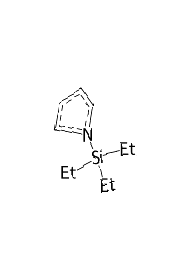 CC[Si](CC)(CC)n1cccc1